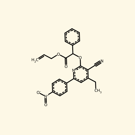 C=CCOC(=O)C(Oc1nc(-c2ccc([N+](=O)[O-])cc2)cc(CC)c1C#N)c1ccccc1